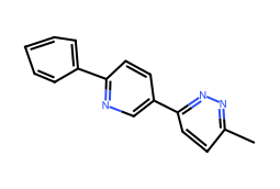 Cc1ccc(-c2ccc(-c3ccccc3)nc2)nn1